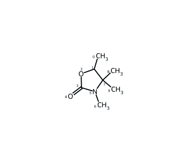 CC1OC(=O)N(C)C1(C)C